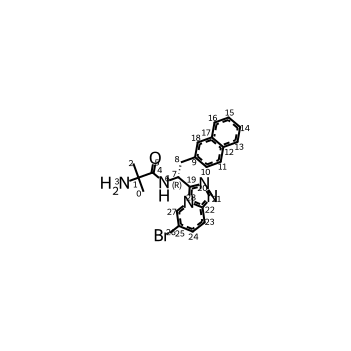 CC(C)(N)C(=O)N[C@H](Cc1ccc2ccccc2c1)c1nnc2ccc(Br)cn12